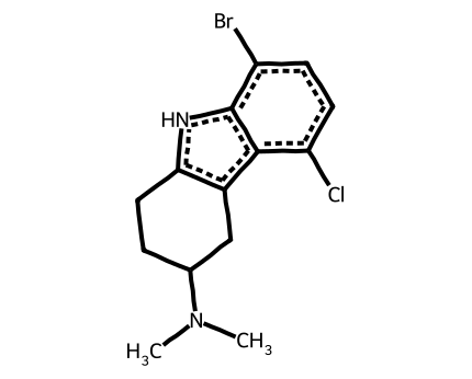 CN(C)C1CCc2[nH]c3c(Br)ccc(Cl)c3c2C1